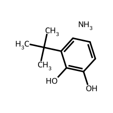 CC(C)(C)c1cccc(O)c1O.N